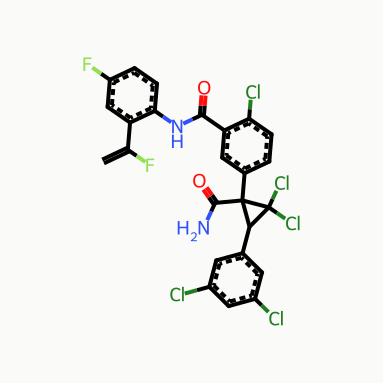 C=C(F)c1cc(F)ccc1NC(=O)c1cc(C2(C(N)=O)C(c3cc(Cl)cc(Cl)c3)C2(Cl)Cl)ccc1Cl